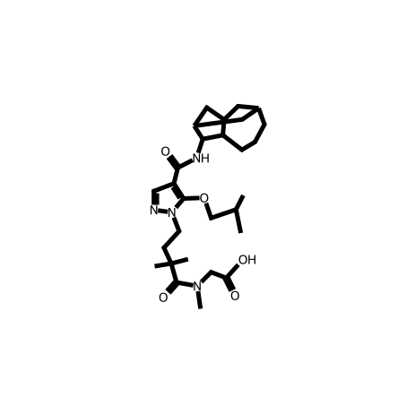 CC(C)COc1c(C(=O)NC2C3CC4CCCC2C(C4)C3)cnn1CCC(C)(C)C(=O)N(C)CC(=O)O